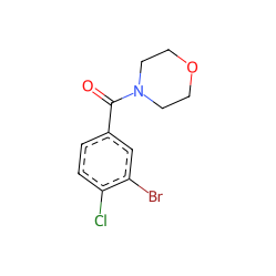 O=C(c1ccc(Cl)c(Br)c1)N1CCOCC1